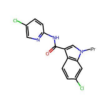 CC(C)n1cc(C(=O)Nc2ccc(Cl)cn2)c2ccc(Cl)cc21